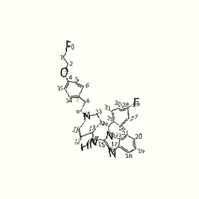 FCCOc1ccc(CCN2CCC(Nc3nc4ccccc4n3Cc3ccc(F)cc3)CC2)cc1